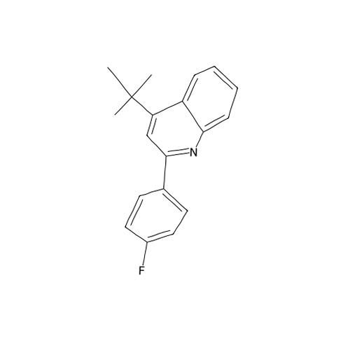 CC(C)(C)c1cc(-c2ccc(F)cc2)nc2ccccc12